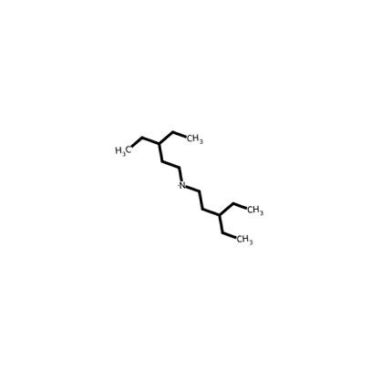 CCC(CC)CC[N]CCC(CC)CC